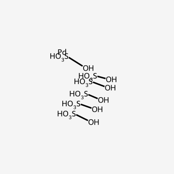 O=S(=O)(O)O.O=S(=O)(O)O.O=S(=O)(O)O.O=S(=O)(O)O.O=S(=O)(O)O.O=S(=O)(O)O.[Pd]